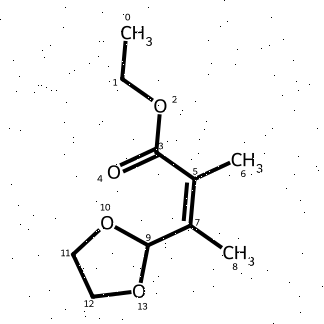 CCOC(=O)C(C)=C(C)C1OCCO1